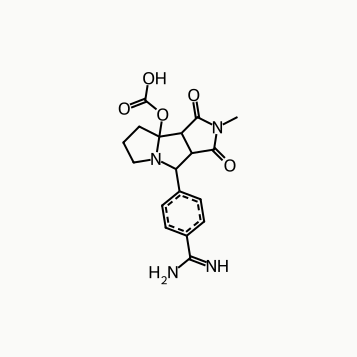 CN1C(=O)C2C(c3ccc(C(=N)N)cc3)N3CCCC3(OC(=O)O)C2C1=O